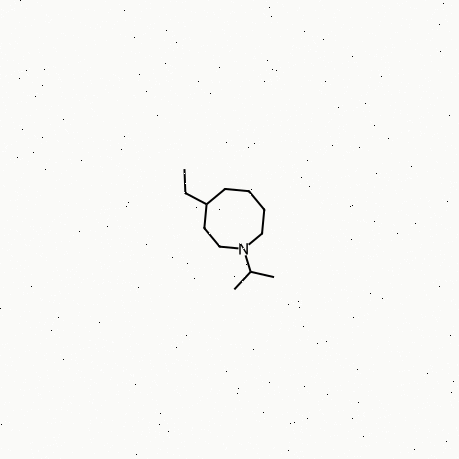 CCC1CCCCN(C(C)C)CC1